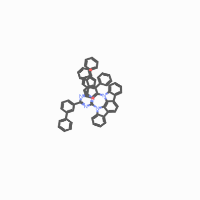 c1ccc(-c2ccc(-c3nc(-c4cccc(-c5ccccc5)c4)nc(-n4c5ccccc5c5ccc6c7ccccc7n(-c7cccc(-c8ccccc8)c7-c7ccccc7)c6c54)n3)cc2)cc1